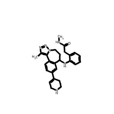 CNC(=O)Cc1ccccc1NC1CCn2nnc(C)c2-c2ccc(C3=CCNCC3)cc21